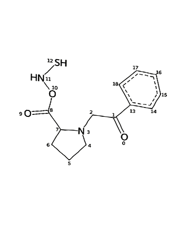 O=C(CN1CCCC1C(=O)ONS)c1ccccc1